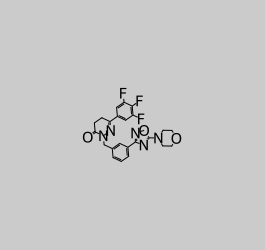 O=C1CCC(c2cc(F)c(F)c(F)c2)=NN1Cc1cccc(-c2noc(N3CCOCC3)n2)c1